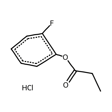 CCC(=O)Oc1ccccc1F.Cl